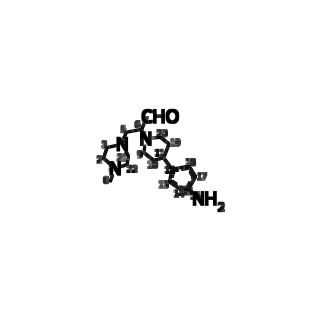 CN1CCN(CC(C=O)N2CCC(c3ccc(N)cc3)CC2)CC1